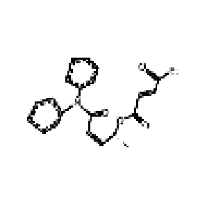 CCC(=O)/C=C/C(=O)O[C@H](C)/C=C\C(=O)N(c1ccccc1)c1ccccc1